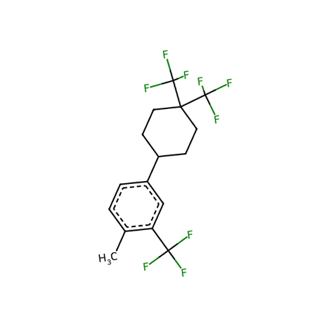 Cc1ccc(C2CCC(C(F)(F)F)(C(F)(F)F)CC2)cc1C(F)(F)F